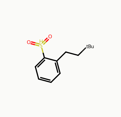 CC(C)(C)CCc1ccccc1[SH](=O)=O